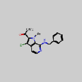 CCCn1c(C(=O)OC)c(Cl)c2ccnc(NCc3ccccc3)c21